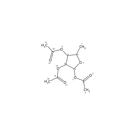 CC(=O)OC1OC(C)C(OC(C)=O)C1OC(C)=O